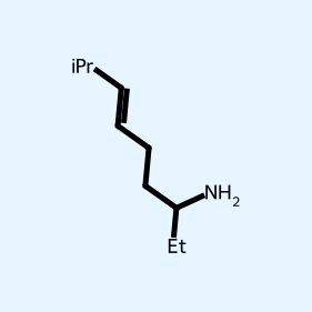 CCC(N)CC/C=C/C(C)C